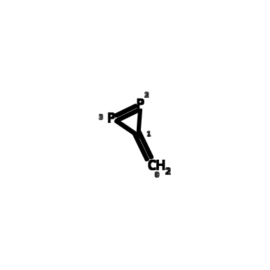 C=C1P=P1